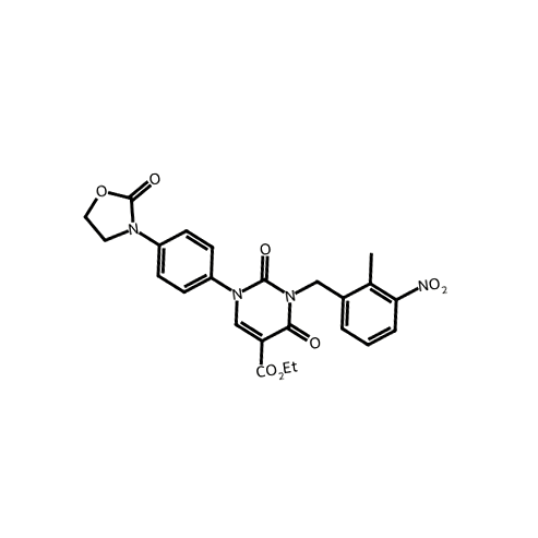 CCOC(=O)c1cn(-c2ccc(N3CCOC3=O)cc2)c(=O)n(Cc2cccc([N+](=O)[O-])c2C)c1=O